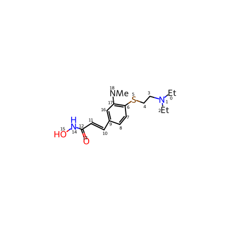 CCN(CC)CCSc1ccc(C=CC(=O)NO)cc1NC